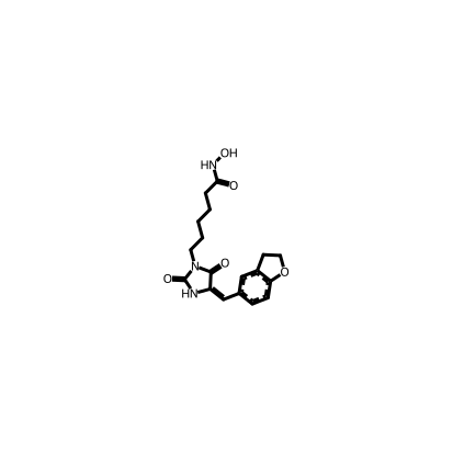 O=C(CCCCCN1C(=O)NC(=Cc2ccc3c(c2)CCO3)C1=O)NO